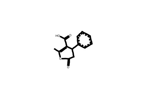 CC1=C(C(=O)O)C(c2ccccc2)CC(=O)O1